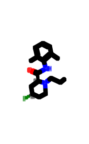 CCCN1CC[C@H](F)C[C@H]1C(=O)Nc1c(C)cccc1C